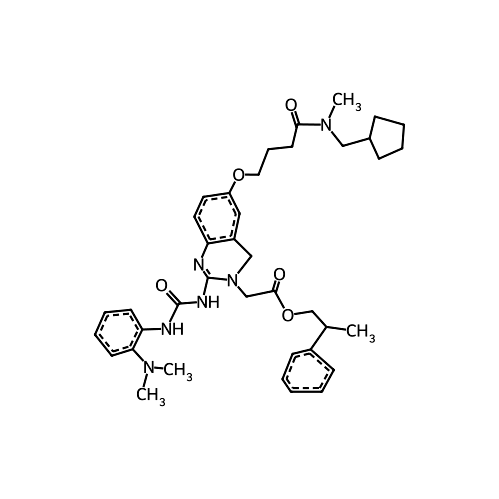 CC(COC(=O)CN1Cc2cc(OCCCC(=O)N(C)CC3CCCC3)ccc2N=C1NC(=O)Nc1ccccc1N(C)C)c1ccccc1